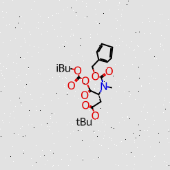 CCC(C)OC(=O)OC(=O)[C@H](CC(=O)OC(C)(C)C)N(C)C(=O)OCc1ccccc1